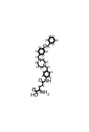 N[C@@H](CCC(=O)Nc1ccc(CN2CCCN(Cc3ccc(OCc4ccccc4)cc3)CC2)cc1)C(=O)O